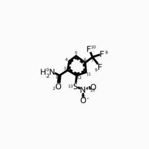 NC(=O)c1ccc(C(F)(F)F)cc1S[N+](=O)[O-]